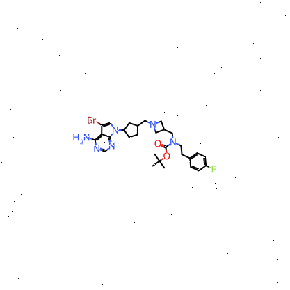 CC(C)(C)OC(=O)N(CCc1ccc(F)cc1)CC1CN(CC2CCC(n3cc(Br)c4c(N)ncnc43)C2)C1